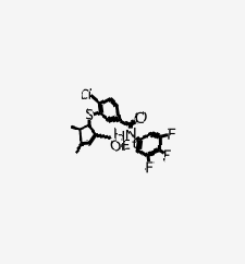 CCOCC1CC(C)C(C)C1Sc1cc(C(=O)Nc2cc(F)c(F)c(F)c2)ccc1Cl